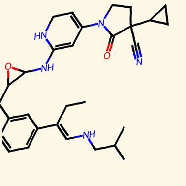 CC/C(=C\NCC(C)C)c1cccc(CC2OC2NC2=CC(N3CCC(C#N)(C4CC4)C3=O)=CCN2)c1